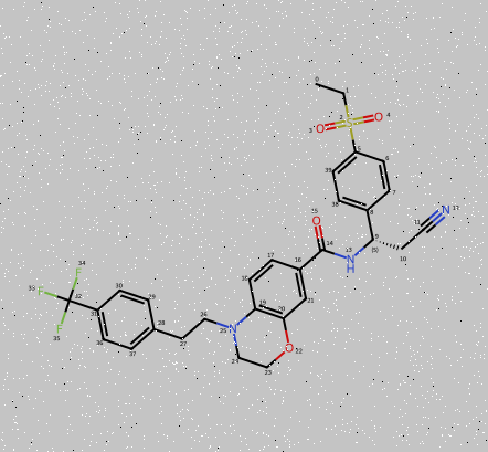 CCS(=O)(=O)c1ccc([C@H](CC#N)NC(=O)c2ccc3c(c2)OCCN3CCc2ccc(C(F)(F)F)cc2)cc1